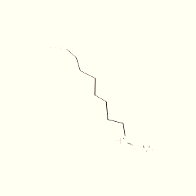 CCCCCCCCCCCCNOC